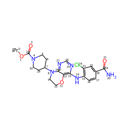 CC(C)OC(=O)N1CCC(N2CCOc3c(Nc4ccc(C(N)=O)cc4Cl)ncnc32)CC1